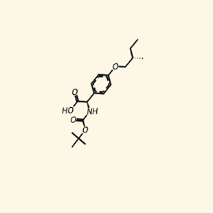 CC[C@H](C)COc1ccc([C@@H](NC(=O)OC(C)(C)C)C(=O)O)cc1